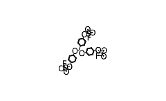 O=S(=O)(F)Oc1ccc(OC(Oc2ccc(OS(=O)(=O)F)cc2)c2ccc(OS(=O)(=O)F)cc2)cc1